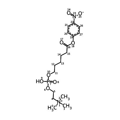 C[N+](C)(C)CCOP(=O)(O)OCCCCCC(=O)Oc1ccc([N+](=O)[O-])cc1